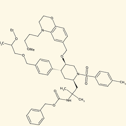 CCOC(C)COCc1ccc([C@H]2C[C@H](CC(C)(C)NC(=O)OCc3ccccc3)N(S(=O)(=O)c3ccc(C)cc3)C[C@@H]2OCc2ccc3c(c2)N(CCCOC)CCO3)cc1